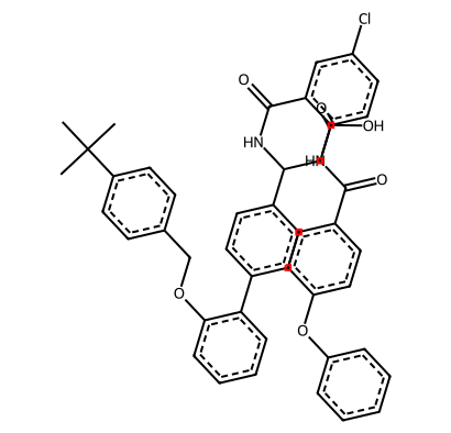 CC(C)(C)c1ccc(COc2ccccc2-c2ccc(C(CC(=O)O)NC(=O)c3cc(Cl)ccc3NC(=O)c3ccc(Oc4ccccc4)cc3)cc2)cc1